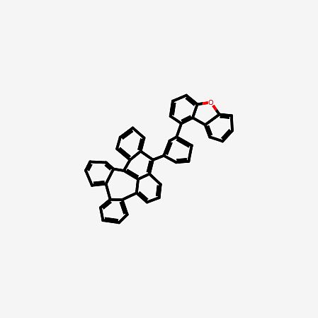 c1cc(-c2c3ccccc3c3c4c(cccc24)-c2ccccc2-c2ccccc2-3)cc(-c2cccc3oc4ccccc4c23)c1